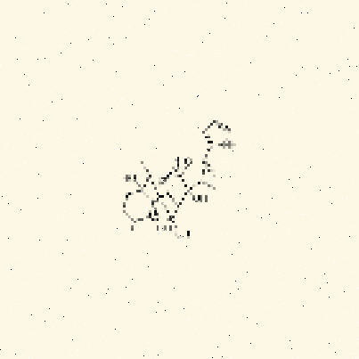 CC1CCC2(O)C3(OC4(O)CC2(C)[C@]2(O)C(OC(=O)c5ccc[nH]5)C(O)(C(C)C)C4(C)C32)C1O